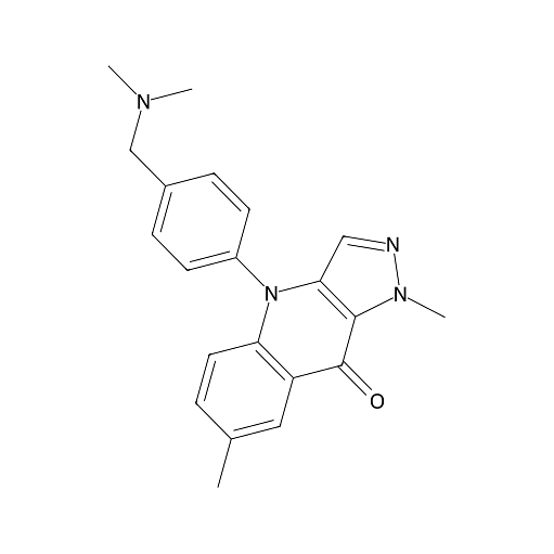 Cc1ccc2c(c1)c(=O)c1c(cnn1C)n2-c1ccc(CN(C)C)cc1